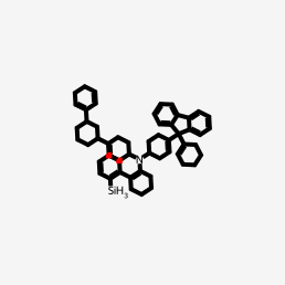 [SiH3]C1=C(C2=C(N(C3CC=C(C4CCCC(C5=CCCC=C5)C4)CC3)C3CC=C(C4(C5=CCCCC5)c5ccccc5-c5ccccc54)CC3)CCCC2)CCC=C1